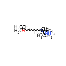 C=C(C)C(=C)OCCCCCCCCCCC[N+](C)(C)C1CC(C)(C)NC(C)(C)C1